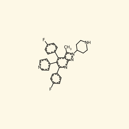 Cc1c2c(-c3ccc(F)cc3)c(-c3ccncc3)c(-c3ccc(F)cc3)nc2nn1C1CCNCC1